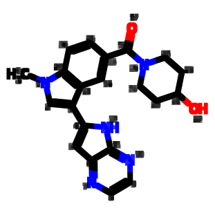 Cn1cc(-c2cc3nccnc3[nH]2)c2cc(C(=O)N3CCC(O)CC3)ccc21